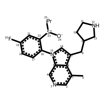 Cc1cncc2c1c(CC1CCNC1)cn2-c1ccc(F)cc1[S+]([O-])C(C)C